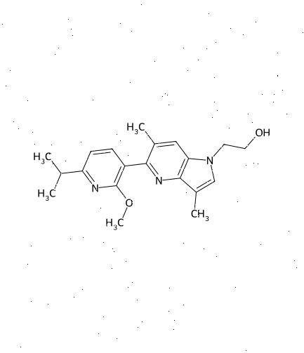 COc1nc(C(C)C)ccc1-c1nc2c(C)cn(CCO)c2cc1C